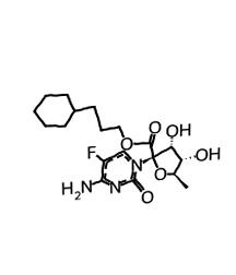 C[C@H]1O[C@@](C(=O)OCCCC2CCCCC2)(n2cc(F)c(N)nc2=O)[C@H](O)[C@@H]1O